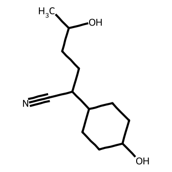 CC(O)CCC(C#N)C1CCC(O)CC1